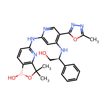 Cc1nnc(-c2cnc(Nc3ccc4c(n3)C(C)(C)OB4O)cc2N[C@H](CO)c2ccccc2)o1